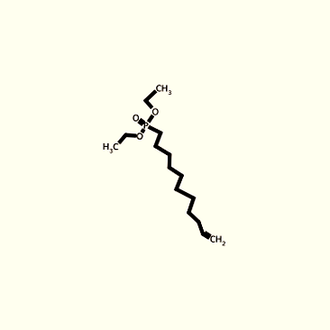 C=CCCCCCCCCCP(=O)(OCC)OCC